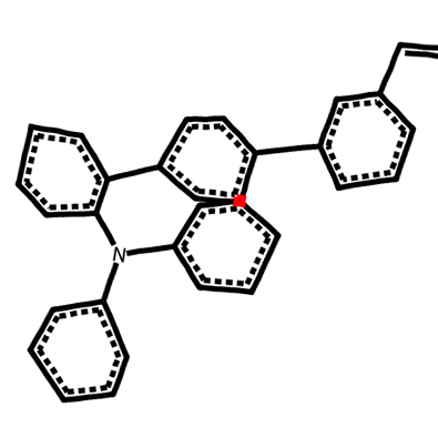 C=Cc1cccc(-c2ccc(-c3ccccc3N(c3ccccc3)c3ccccc3)cc2)c1